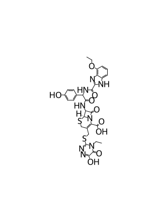 CCOc1cccc2[nH]c(C(=O)NC(C(=O)NC3C(=O)N4C(C(=O)O)=C(CSc5nnc(O)c(=O)n5CC)CS[C@@H]34)c3ccc(O)cc3)nc12